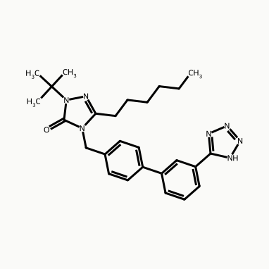 CCCCCCc1nn(C(C)(C)C)c(=O)n1Cc1ccc(-c2cccc(-c3nnn[nH]3)c2)cc1